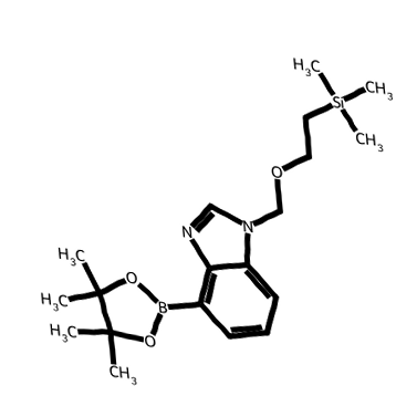 CC1(C)OB(c2cccc3c2ncn3COCC[Si](C)(C)C)OC1(C)C